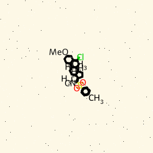 [C-]#[N+]C(=C1CC[C@H]2[C@@H]3CC(Cl)=C4C=C(OC)CC[C@]4(C)[C@H]3CC[C@]12C)S(=O)(=O)c1ccc(C)cc1